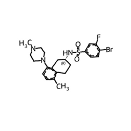 Cc1ccc(N2CCN(C)CC2)c2c1CC[C@@H](NS(=O)(=O)c1ccc(Br)c(F)c1)C2